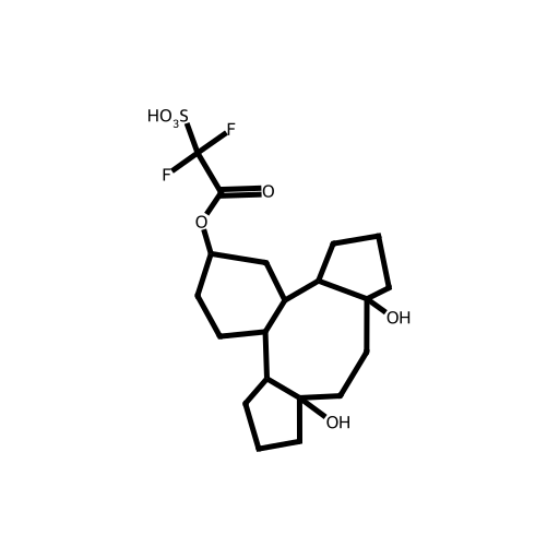 O=C(OC1CCC2C(C1)C1CCCC1(O)CCC1(O)CCCC21)C(F)(F)S(=O)(=O)O